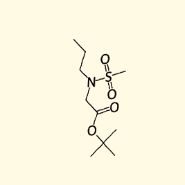 CCCN(CC(=O)OC(C)(C)C)S(C)(=O)=O